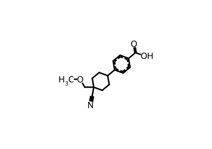 COCC1(C#N)CCC(c2ccc(C(=O)O)cc2)CC1